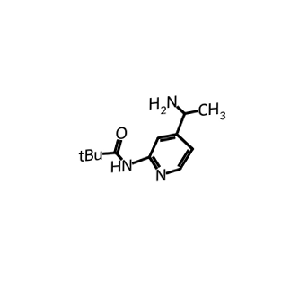 CC(N)c1ccnc(NC(=O)C(C)(C)C)c1